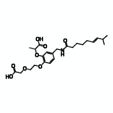 CC(C)/C=C/CCCCC(=O)NCc1ccc(OCCOCC(=O)O)c(OC(C)C(=O)O)c1